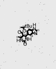 CC1=C(C(=O)OC(C)C(C)(C)C)C(c2ccc3[nH]cnc3c2)NC(=O)N1